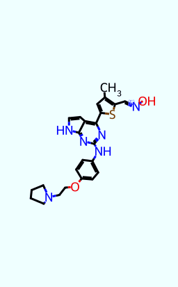 Cc1cc(-c2nc(Nc3ccc(OCCN4CCCC4)cc3)nc3[nH]ccc23)sc1/C=N/O